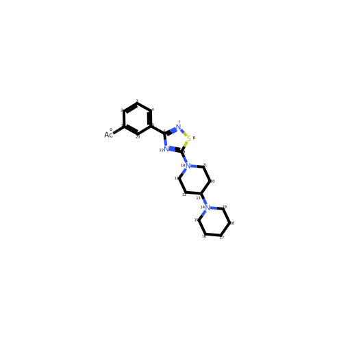 CC(=O)c1cccc(-c2nsc(N3CCC(N4CCCCC4)CC3)n2)c1